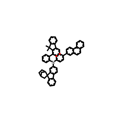 CC1(C)c2ccccc2-c2cccc(-c3ccccc3N(c3ccc(-c4ccc5c(ccc6ccccc65)c4)cc3)c3ccc4c(c3)C3(CC5CCC3C5)c3ccccc3-4)c21